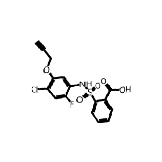 C#CCOc1cc(NS(=O)(=O)c2ccccc2C(=O)O)c(F)cc1Cl